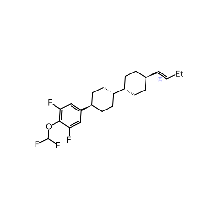 CC/C=C/[C@H]1CC[C@H]([C@H]2CC[C@H](c3cc(F)c(OC(F)F)c(F)c3)CC2)CC1